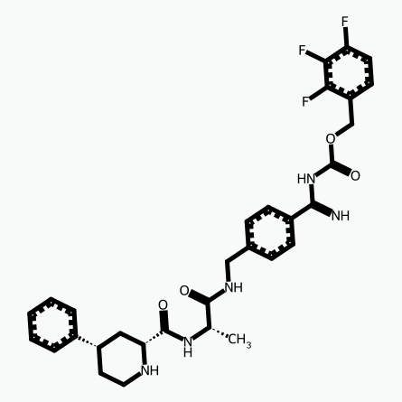 C[C@H](NC(=O)[C@H]1C[C@@H](c2ccccc2)CCN1)C(=O)NCc1ccc(C(=N)NC(=O)OCc2ccc(F)c(F)c2F)cc1